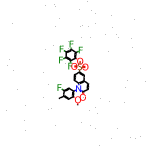 COc1cc(C)c(F)cc1-n1c(=O)ccc2cc(S(=O)(=O)Oc3c(F)c(F)c(F)c(F)c3F)ccc21